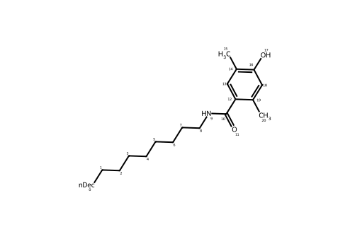 CCCCCCCCCCCCCCCCCCNC(=O)c1cc(C)c(O)cc1C